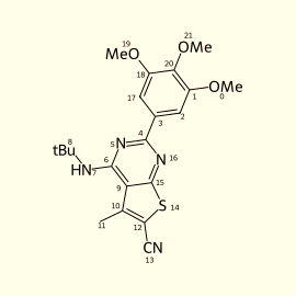 COc1cc(-c2nc(NC(C)(C)C)c3c(C)c(C#N)sc3n2)cc(OC)c1OC